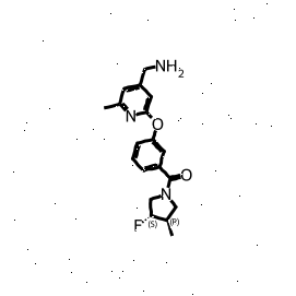 Cc1cc(CN)cc(Oc2cccc(C(=O)N3C[C@@H](C)[C@H](F)C3)c2)n1